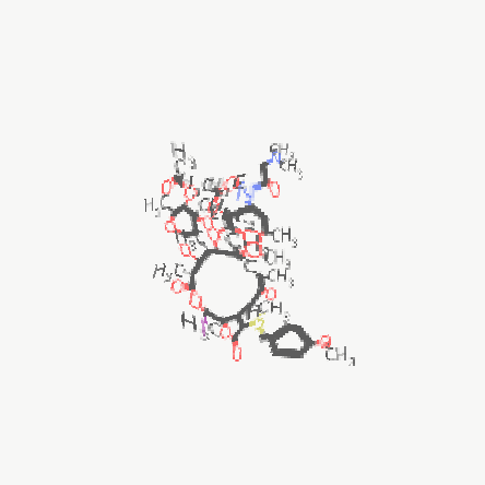 COc1ccc(CSC2C(=O)O[C@@]3(C)[C@H]2[C@@H](C)C(=O)[C@H](C)C[C@@](C)(OC)[C@H](O[C@@H]2O[C@H](C)C[C@H](N(C)C(=O)CN(C)C)[C@H]2OC(C)=O)[C@@H](C)[C@H](O[C@H]2C[C@@](C)(OC)[C@@H](OC(C)=O)[C@H](C)O2)[C@@H](C)C(=O)O[C@@H]3I)cc1